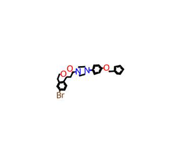 O=C(CC1OCCc2cc(Br)ccc21)N1CCN(c2ccc(OCc3ccccc3)cc2)CC1